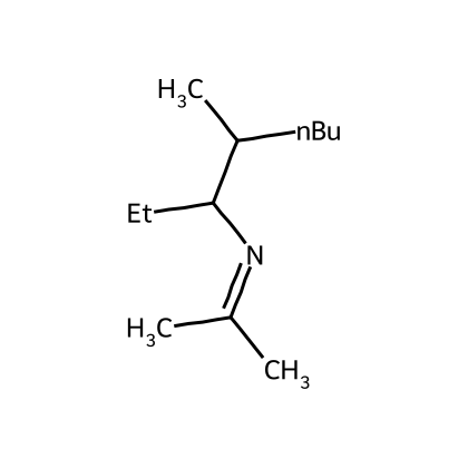 CCCCC(C)C(CC)N=C(C)C